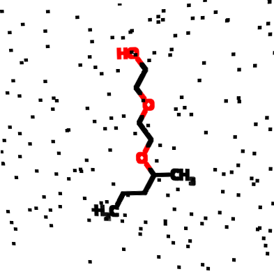 [CH2]CCC(C)OCCOCCO